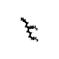 N#CCCC(N)CCCN